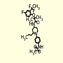 CCCC1CC(NC(=O)C(C)(C)Oc2ccc(F)cc2C(C)(F)F)CCN1c1ccc(NS(C)(=O)=O)cc1